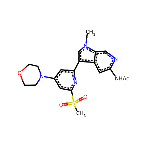 CC(=O)Nc1cc2c(-c3cc(N4CCOCC4)cc(S(C)(=O)=O)n3)cn(C)c2cn1